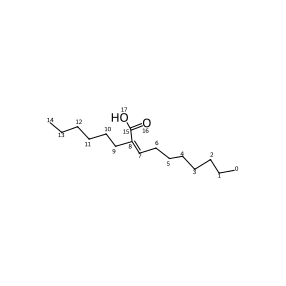 CCCCCCCC=C(CCCCCC)C(=O)O